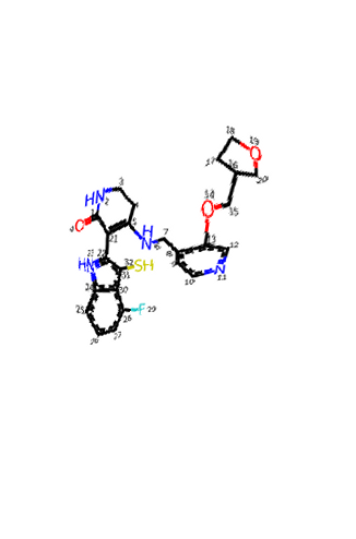 O=C1NCCC(NCc2ccncc2OCC2CCOC2)=C1c1[nH]c2cccc(F)c2c1S